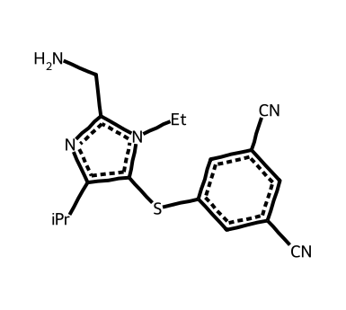 CCn1c(CN)nc(C(C)C)c1Sc1cc(C#N)cc(C#N)c1